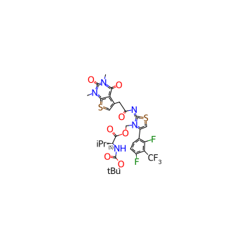 CC(C)[C@H](NC(=O)OC(C)(C)C)C(=O)OCn1c(-c2ccc(F)c(C(F)(F)F)c2F)csc1=NC(=O)Cc1csc2c1c(=O)n(C)c(=O)n2C